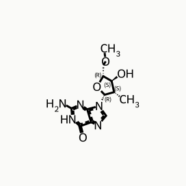 COC[C@H]1O[C@@H](n2cnc3c(=O)[nH]c(N)nc32)[C@@H](C)[C@@H]1O